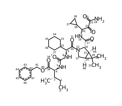 CC[C@H](C)[C@H](NC(=O)N[C@H](C(=O)N1C[C@H]2[C@@H]([C@H]1C(=O)NC(C(=O)C(N)=O)C1CC1)C2(C)C)C1CCCCC1)C(=O)OCc1ccccc1